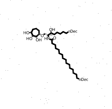 CCCCCCCCCCCCCCCCCCCCCCCCCC(=O)N[C@H](CO[C@H]1CCC[C@H](O)[C@H](O)[C@H]1O)[C@@H](O)CCCCCCCCCCCCCCC